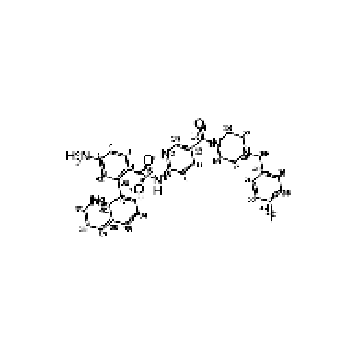 Nc1ccc(S(=O)(=O)Nc2ccc(C(=O)N3CCN(Cc4ccc(F)cc4)CC3)cn2)c(-c2cccc3cccnc23)c1